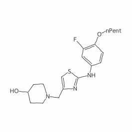 CCCCCOc1ccc(Nc2nc(CN3CCC(O)CC3)cs2)cc1F